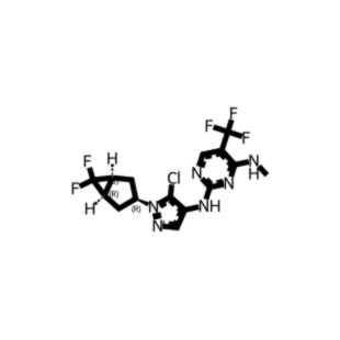 CNc1nc(Nc2cnn([C@H]3C[C@@H]4[C@H](C3)C4(F)F)c2Cl)ncc1C(F)(F)F